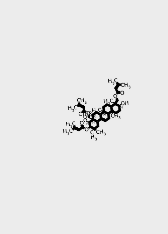 CC(C)=CC(=O)OC[C@@]12C(CC(C)(C)[C@@H](OC(=O)C=C(C)C)[C@@H]1O)C1=CCC3[C@@](C)(CCC4[C@]3(C)CC[C@H](O)[C@]4(C)COC(=O)C=C(C)C)C1C[C@H]2O